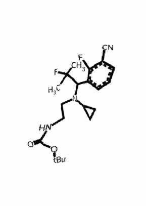 CC(C)(C)OC(=O)NCCN(C1CC1)C(c1cccc(C#N)c1F)C(C)(C)F